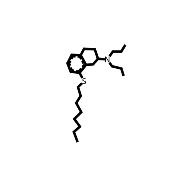 CCCCCCCCSc1cccc2c1CC(N(CCC)CCC)CC2